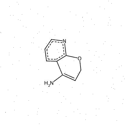 NC1=CCOc2ncccc21